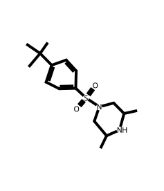 CC1CN(S(=O)(=O)c2ccc(C(C)(C)C)cc2)CC(C)N1